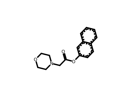 O=C(CN1CCOCC1)Oc1ccc2ccccc2c1